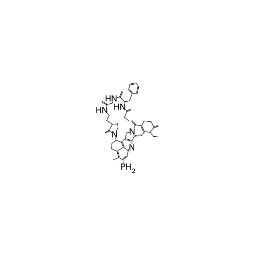 C=C(CNC(=C)C(Cc1ccccc1)NC(=C)CC)NCCC1CCN(C2CCc3c(C)c(P)cc4nc5c(c2c34)CN2C(=C)C3=C(C=C52)C(CC)C(=C)CC3)C1=C